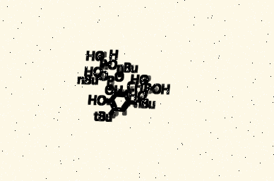 CCCCOP(O)OCCCC.CCCCc1cc(C(C)(C)C)c(O)cc1C.OP(O)O.OP(O)O